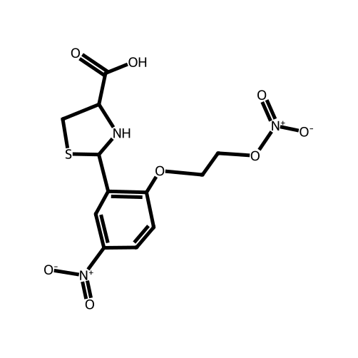 O=C(O)C1CSC(c2cc([N+](=O)[O-])ccc2OCCO[N+](=O)[O-])N1